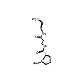 CCC(C)N1CCC[C@H]1C(=O)NCCC(=O)NCCC(=O)O